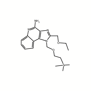 CCOCc1nc2c(N)nc3ccccc3c2n1COCC[Si](C)(C)C